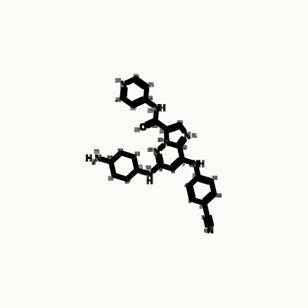 N#Cc1ccc(Nc2cc(NC3CCC(N)CC3)nn3c(C(=O)Nc4ccncc4)cnc23)cc1